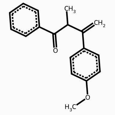 C=C(c1ccc(OC)cc1)C(C)C(=O)c1ccccc1